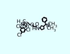 CN(C)C(c1ccccc1)C1CCC(NC(=O)COCCN(C)S(=O)(=O)c2c(Cl)cc(Cl)cc2Cl)C1